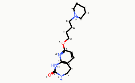 O=C1NCCc2ccc(OCCCCN3CCCCC3)nc2N1